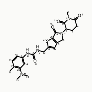 [CH2]N1C(=O)CCC(N2Cc3cc(CNC(=O)Nc4ccc(C)c(N(C)C)c4)sc3C2=O)C1=O